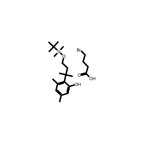 Cc1cc(C)c(C(C)(C)CCO[Si](C)(C)C(C)(C)C)c(O)c1.O=C(O)CCCBr